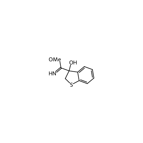 COC(=N)C1(O)CSc2ccccc21